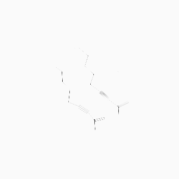 CCCCCC#CC(=O)[O-].CCCCCC#CC(=O)[O-].[Zn+2]